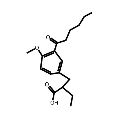 CCCCCC(=O)c1cc(CC(CC)C(=O)O)ccc1OC